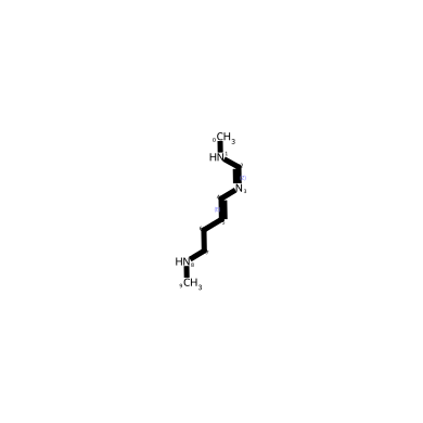 CN/C=N\C=C\CCNC